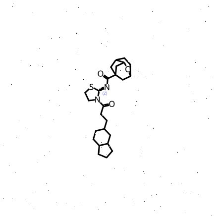 O=C(CCC1CCC2CCCC2C1)N1CCS/C1=N\C(=O)C12CC3CCC(C1)C(C3)C2